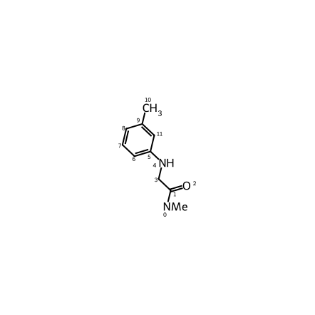 CNC(=O)CNc1cccc(C)c1